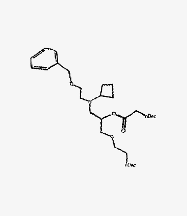 CCCCCCCCCCCCOCC(CN(CCOCc1ccccc1)C1CCC1)OC(=O)CCCCCCCCCCC